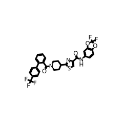 O=C(Nc1ccc2c(c1)OC(F)(F)O2)c1csc(C2CCN(C(=O)c3ccccc3-c3ccc(C(F)(F)F)cc3)CC2)n1